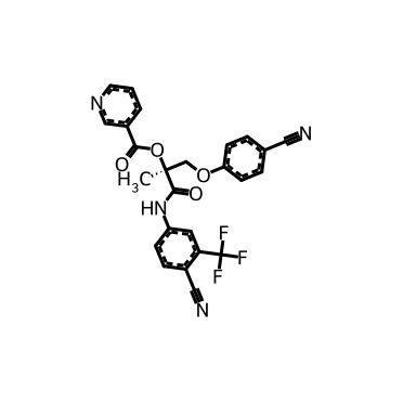 C[C@@](COc1ccc(C#N)cc1)(OC(=O)c1cccnc1)C(=O)Nc1ccc(C#N)c(C(F)(F)F)c1